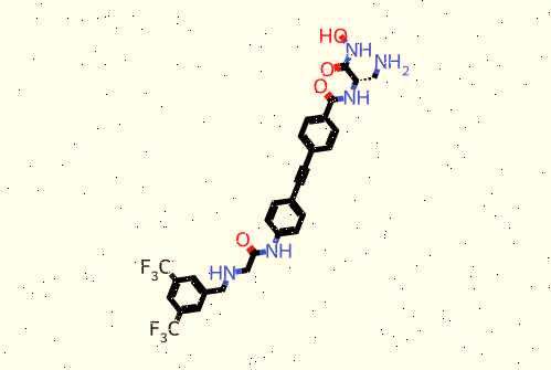 NC[C@H](NC(=O)c1ccc(C#Cc2ccc(NC(=O)CNCc3cc(C(F)(F)F)cc(C(F)(F)F)c3)cc2)cc1)C(=O)NO